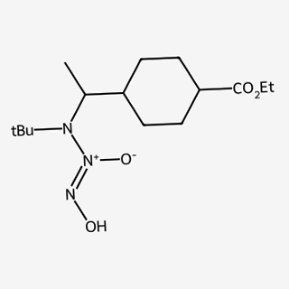 CCOC(=O)C1CCC(C(C)N([N+]([O-])=NO)C(C)(C)C)CC1